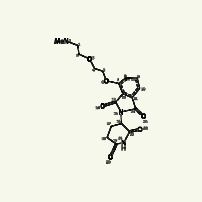 CNCCOCCOc1cccc2c1C(=O)N(C1CCC(=O)NC1=O)C2=O